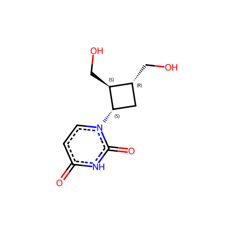 O=c1ccn([C@H]2C[C@@H](CO)[C@@H]2CO)c(=O)[nH]1